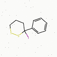 IC1(c2ccccc2)CCCSS1